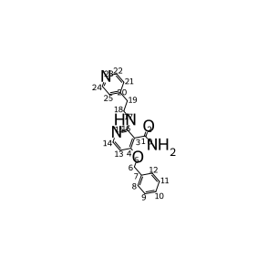 NC(=O)c1c(OCc2ccccc2)ccnc1NCCc1ccncc1